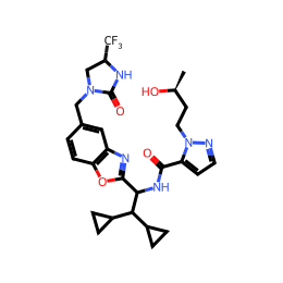 C[C@H](O)CCn1nccc1C(=O)NC(c1nc2cc(CN3CC(C(F)(F)F)NC3=O)ccc2o1)C(C1CC1)C1CC1